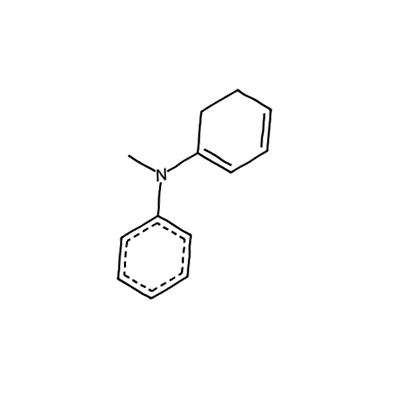 CN(C1=CC=CCC1)c1ccccc1